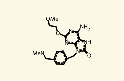 CNCc1ccc(Cn2c(=O)[nH]c3c(N)nc(OCCOC)nc32)cc1